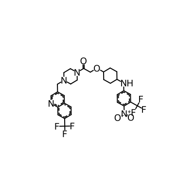 O=C(COC1CCC(Nc2ccc([N+](=O)[O-])c(C(F)(F)F)c2)CC1)N1CCN(Cc2cnc3cc(C(F)(F)F)ccc3c2)CC1